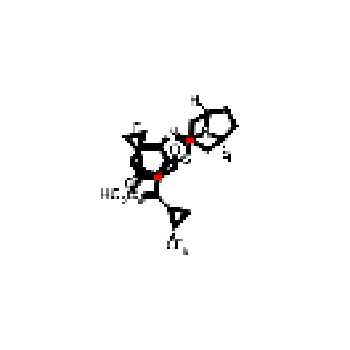 O=C(O)c1cc(F)c2nc(N3[C@@H]4CC[C@H]3C[C@H](OCc3c([C@H]5C[C@@H]5C(F)(F)F)noc3C3CC3)C4)sc2c1